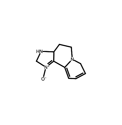 [O-][N+]1=C2C3=CC=CCN3CCC2NC1